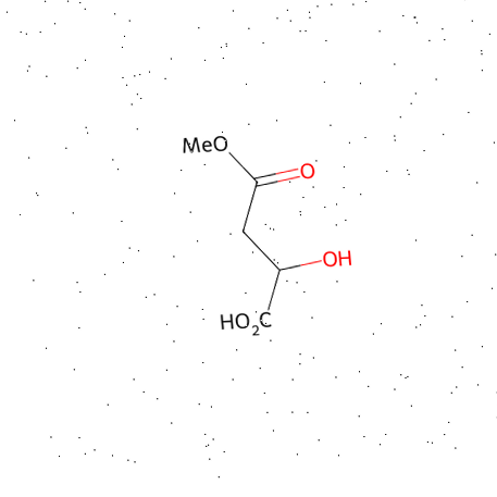 COC(=O)CC(O)C(=O)O